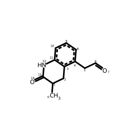 CC1Cc2c(CC=O)cccc2NC1=O